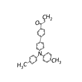 C=CC(=O)c1ccc(-c2ccc(N(c3ccc(C)cc3)c3ccc(C)cc3)cc2)cc1